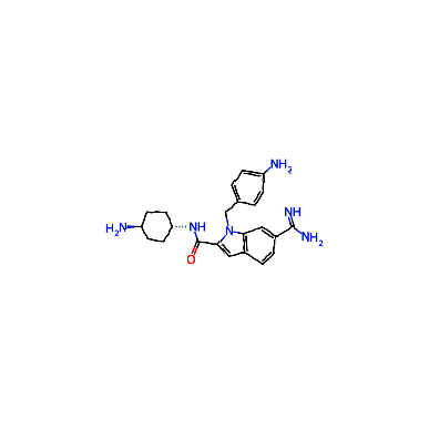 N=C(N)c1ccc2cc(C(=O)N[C@H]3CC[C@H](N)CC3)n(Cc3ccc(N)cc3)c2c1